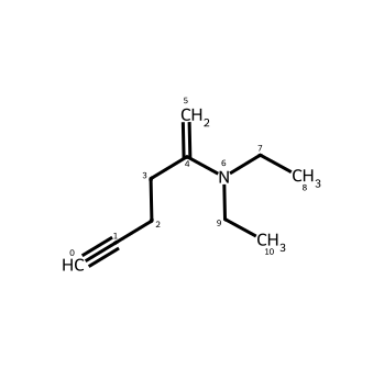 C#CCCC(=C)N(CC)CC